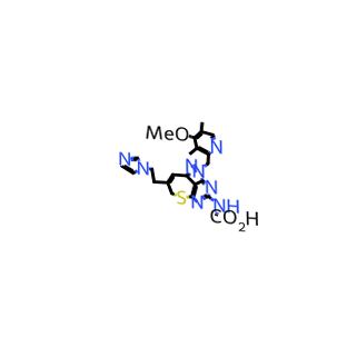 COc1c(C)cnc(Cn2nc3c4c(nc(NC(=O)O)nc42)SCC(CCn2ccnc2)=C3)c1C